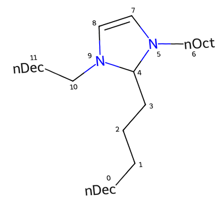 CCCCCCCCCCCCCC1N(CCCCCCCC)C=CN1CCCCCCCCCCC